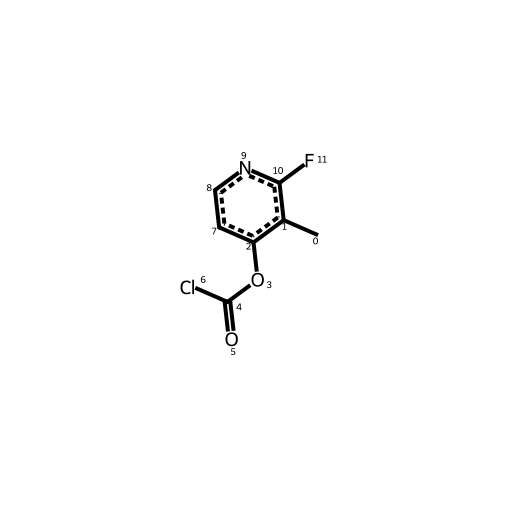 Cc1c(OC(=O)Cl)ccnc1F